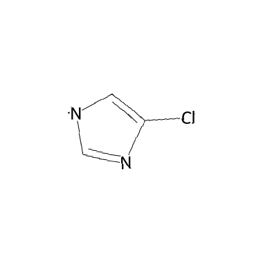 ClC1=C[N]C=N1